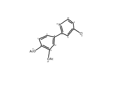 CC(=O)Oc1ccc(-c2cc(Cl)ccn2)cc1OC(C)=O